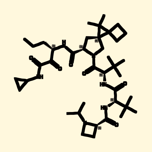 CCC[C@H](NC(=O)[C@@H]1C[C@@]2(CN1C(=O)[C@@H](NC(=O)[C@@H](NC(=O)[C@@H]1CCN1C(C)C)C(C)(C)C)C(C)(C)C)C(C)(C)C21CCC1)C(=O)C(=O)NC1CC1